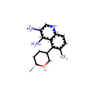 C[C@@H]1CCC(c2c(C(F)(F)F)ccc3ncc(N)c(N)c23)CO1